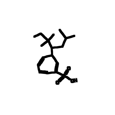 CCC(C)(C)C(CC(C)C)C1C=CC=CC(S(=O)(=O)O)=C1